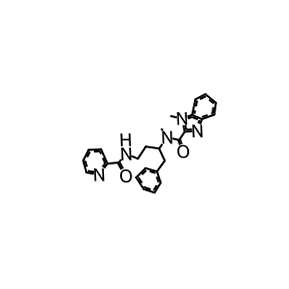 CN(C(=O)c1nc2ccccc2n1C)C(CCNC(=O)c1ccccn1)Cc1ccccc1